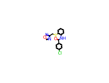 O=C(Nc1ccccc1SCc1ncon1)c1ccc(Cl)cc1